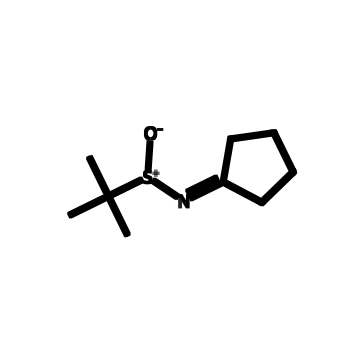 CC(C)(C)[S+]([O-])N=C1CCCC1